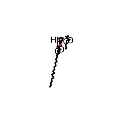 C=C(C)C(=O)OCCCC.C=C(C)C(=O)OCCCCCCCCCCCCCCCCCC.O=C1CCCN1